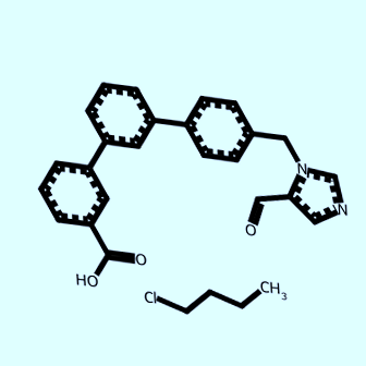 CCCCCl.O=Cc1cncn1Cc1ccc(-c2cccc(-c3cccc(C(=O)O)c3)c2)cc1